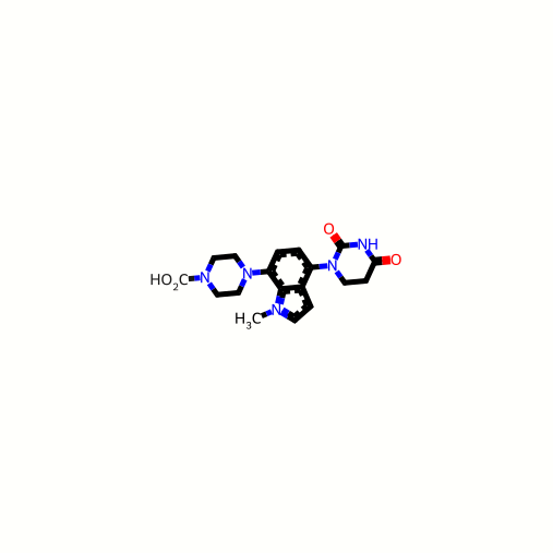 Cn1ccc2c(N3CCC(=O)NC3=O)ccc(N3CCN(C(=O)O)CC3)c21